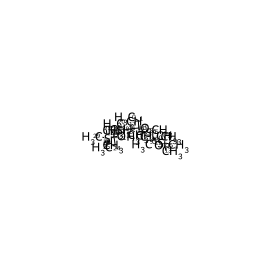 CCC(C)(O[Si](C)(C)C(C)(C)O[Si](C)(C)C)C(C)(C)[SiH](C)OC(C)(CC)[Si](C)(C)C